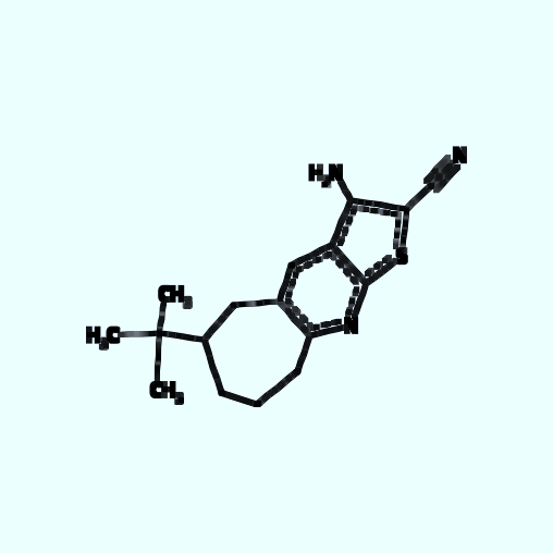 CC(C)(C)C1CCCc2nc3sc(C#N)c(N)c3cc2C1